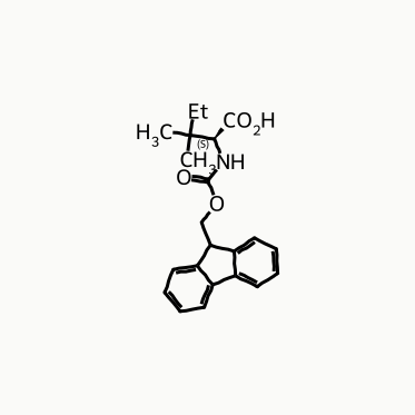 CCC(C)(C)[C@H](NC(=O)OCC1c2ccccc2-c2ccccc21)C(=O)O